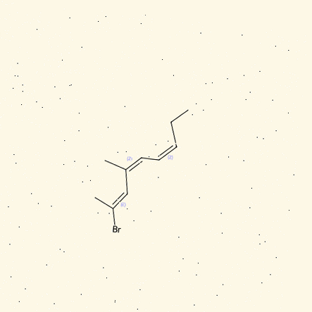 CC\C=C/C=C(C)\C=C(/C)Br